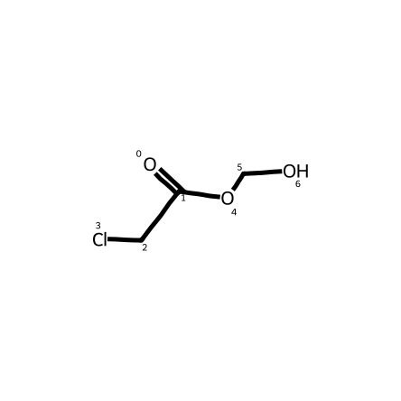 O=C(CCl)OCO